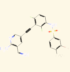 COc1ccc(S(=O)(=O)Nc2ccc(F)c(C#Cc3cnc(N)c(C=N)c3)c2F)cc1Br